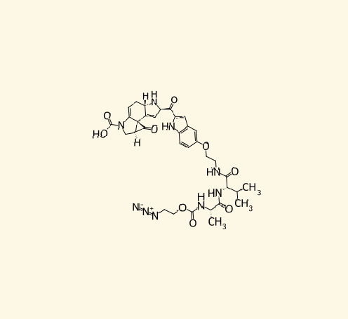 CC(C)[C@H](NC(=O)[C@H](C)NC(=O)OCCN=[N+]=[N-])C(=O)NCCOc1ccc2[nH]c(C(=O)[C@H]3C=C4[C@H](CC=C5N(C(=O)O)C[C@@H]6C(=O)[C@]456)N3)cc2c1